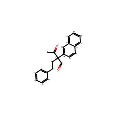 CC(=O)C([C]=O)(CCc1ccccc1)c1ccc2ccccc2c1